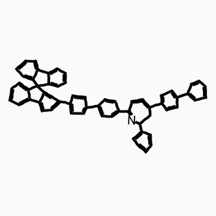 C1=CC(c2ccc(-c3ccc(-c4ccc5c(c4)C4(c6ccccc6-c6ccccc64)c4ccccc4-5)cc3)cc2)=NC(c2ccccc2)CC=1c1ccc(-c2ccccc2)cc1